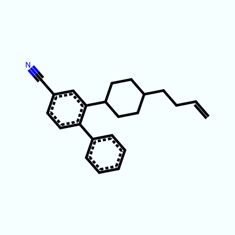 C=CCCC1CCC(c2cc(C#N)ccc2-c2ccccc2)CC1